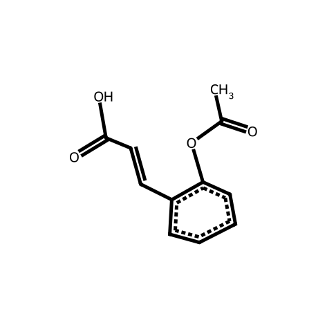 CC(=O)Oc1ccccc1/C=C/C(=O)O